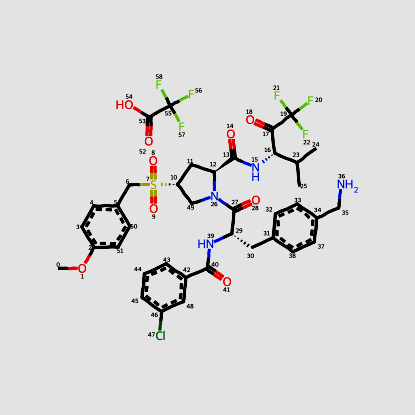 COc1ccc(CS(=O)(=O)[C@@H]2C[C@@H](C(=O)N[C@H](C(=O)C(F)(F)F)C(C)C)N(C(=O)[C@H](Cc3ccc(CN)cc3)NC(=O)c3cccc(Cl)c3)C2)cc1.O=C(O)C(F)(F)F